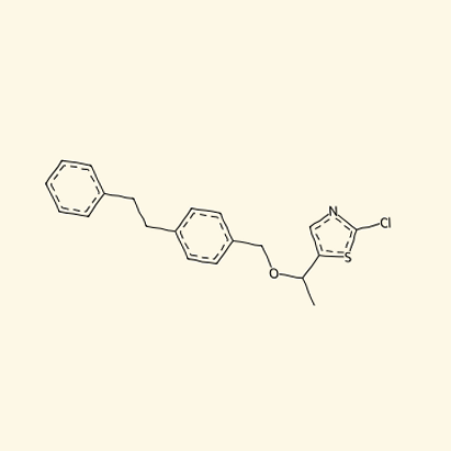 CC(OCc1ccc(CCc2ccccc2)cc1)c1cnc(Cl)s1